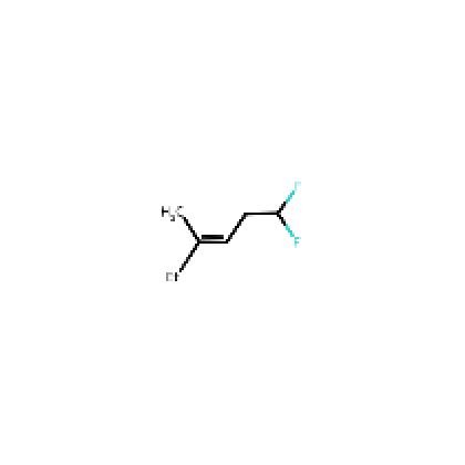 CC/C(C)=C/C[C](F)F